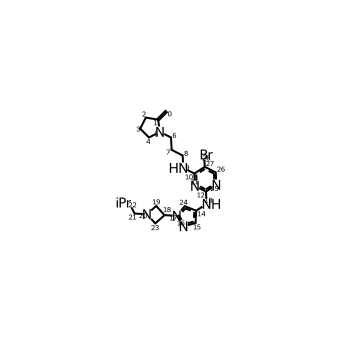 C=C1CCCN1CCCNc1nc(Nc2cnn(C3CN(CC(C)C)C3)c2)ncc1Br